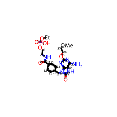 CCOP(=O)(O)OCCNC(=O)c1ccc(Cn2c(=O)[nH]c3c(N)nc(OCCOC)nc32)cc1